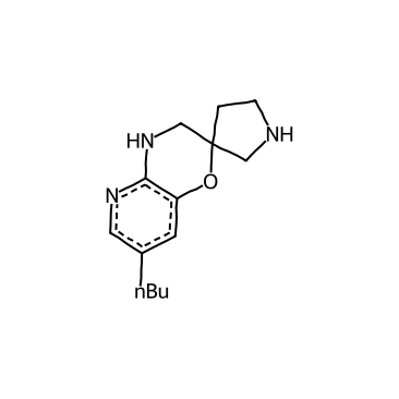 CCCCc1cnc2c(c1)OC1(CCNC1)CN2